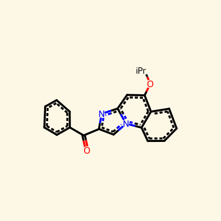 CC(C)Oc1cc2nc(C(=O)c3ccccc3)cn2c2ccccc12